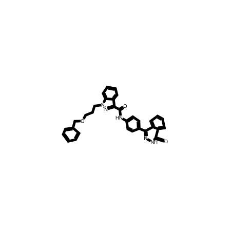 O=C(Nc1ccc(-c2n[nH]c(=O)c3ccccc23)cc1)c1nn(CCCOCc2ccccc2)c2ccccc12